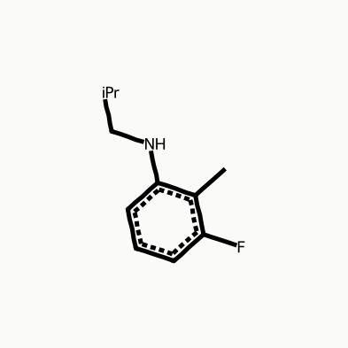 Cc1c(F)cccc1NCC(C)C